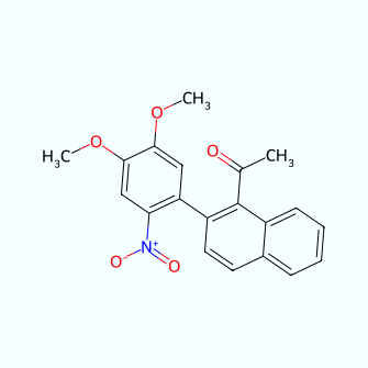 COc1cc(-c2ccc3ccccc3c2C(C)=O)c([N+](=O)[O-])cc1OC